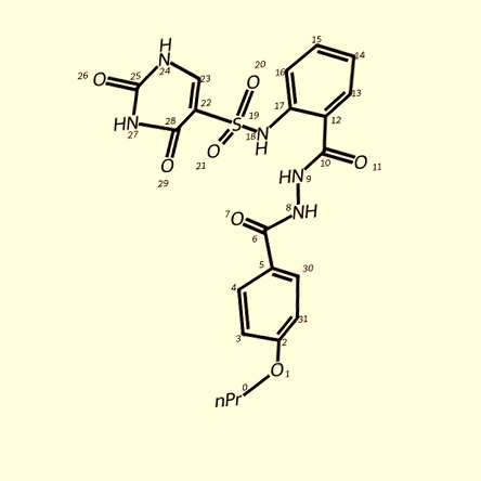 CCCOc1ccc(C(=O)NNC(=O)c2ccccc2NS(=O)(=O)c2c[nH]c(=O)[nH]c2=O)cc1